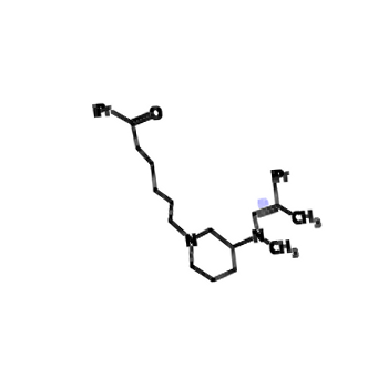 C/C(=C\N(C)C1CCCN(CCCCCC(=O)C(C)C)C1)C(C)C